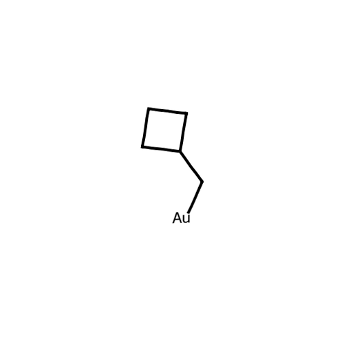 [Au][CH2]C1CCC1